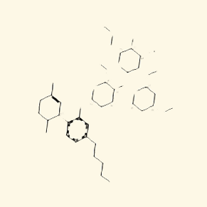 CCCCCc1ccc([C@@H]2C=C(C)CCC2C)c(O[C@H]2C[C@@H](O[C@H]3C[C@@H](OC)C[C@@H](CO)O3)[C@H](O[C@H]3C[C@@H](O)[C@H](O)[C@@H](COI)O3)[C@@H](CO)O2)c1